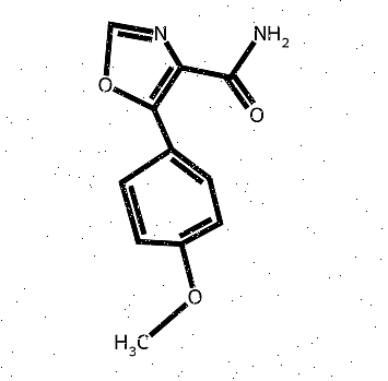 COc1ccc(-c2ocnc2C(N)=O)cc1